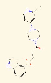 N#Cc1cc(N2CCN(C(=O)CCS(=O)(=O)c3cccc4ncsc34)CC2)ccn1